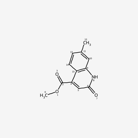 COC(=O)c1cc(=O)[nH]c2cc(C)ccc12